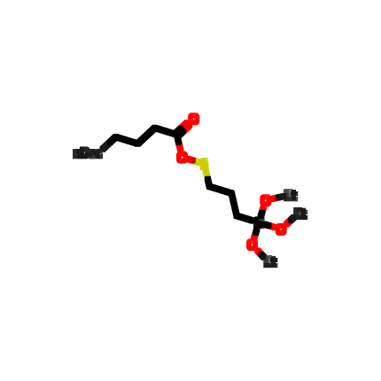 CCCCCCCCCCCCCC(=O)OSCCC[Si](OCC)(OCC)OCC